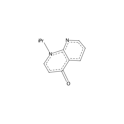 CC(C)n1ccc(=O)c2cccnc21